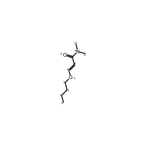 CCCCOC=CC(=O)N(C)C